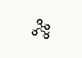 Cc1cccnc1CCN(Cc1ccccn1)C(c1ccccn1)c1ccccn1